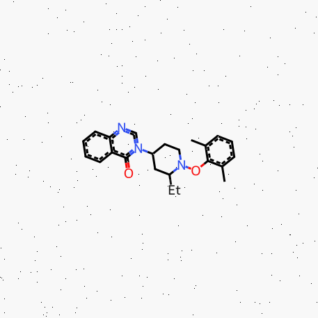 CCC1CC(n2cnc3ccccc3c2=O)CCN1Oc1c(C)cccc1C